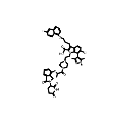 Cc1nn(C)c(C)c1-c1c(Cl)ccc2c(CCCOc3cccc4cc(F)ccc34)c(C(=O)O)n(CCN3CCN(C(=O)C(C)Oc4cccc5c4CN(C4CCC(=O)NC4=O)C5=O)CC3)c12